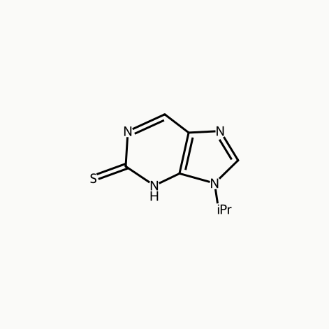 CC(C)n1cnc2cnc(=S)[nH]c21